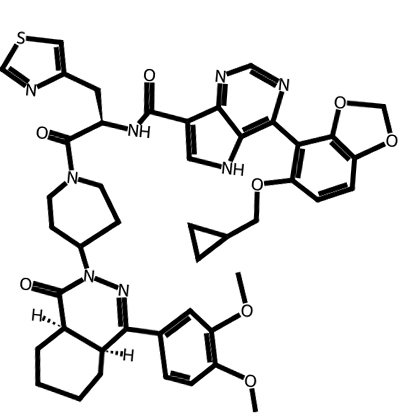 COc1ccc(C2=NN(C3CCN(C(=O)[C@@H](Cc4cscn4)NC(=O)c4c[nH]c5c(-c6c(OCC7CC7)ccc7c6OCO7)ncnc45)CC3)C(=O)[C@@H]3CCCC[C@H]23)cc1OC